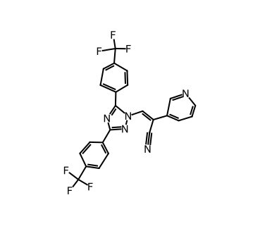 N#CC(=Cn1nc(-c2ccc(C(F)(F)F)cc2)nc1-c1ccc(C(F)(F)F)cc1)c1cccnc1